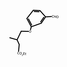 CCOC(=O)CC(C)COc1cccc(C=O)c1